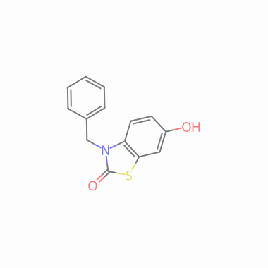 O=c1sc2cc(O)ccc2n1Cc1ccccc1